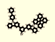 Brc1cc(-c2ccc3c(c2)c2ccccc2n3-c2ccc(-c3ccccc3)cc2)cc(-c2ccc3c(c2)c2ccccc2n3-c2ccc3c(c2)C2(c4ccccc4-c4ccccc42)c2ccccc2-3)c1